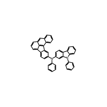 c1ccc(N(c2ccc3c(c2)-c2c4ccccc4cc4cccc-3c24)c2ccc3c4ccccc4n(-c4ccccc4)c3c2)cc1